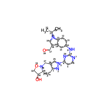 Cc1nn(-c2ccnc(Nc3ccc4c(c3)c(C=O)cn4C(C)C)n2)cc1CN1CC(O)CO1